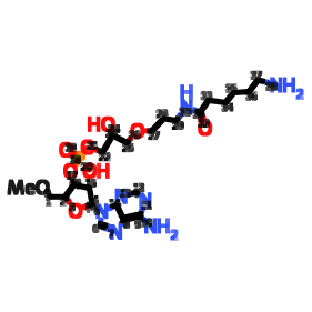 COCC1O[C@@H](n2cnc3c(N)ncnc32)C[C@H]1OP(=O)(O)OCC(O)COCCCNC(=O)CCCCCN